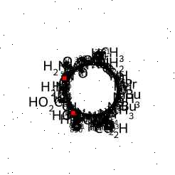 CCCC[C@H]1C(=O)N(C)[C@@H](CCCC)C(=O)N[C@@H](CC(C)C)C(=O)NCCC[C@@H](N)C(=O)N[C@@H](Cc2ccc(C)cc2)C(=O)N2CCCC[C@@]23C(=O)N3[C@@H](CCC(N)=O)C(=O)N2CCC[C@H]2C(=O)N[C@@H](CN)C(=O)N[C@@H](CCC(=O)O)C(=O)N2C[C@H](O)C[C@H]2C(=O)N[C@@H](Cc2c[nH]c3ccccc23)C(=O)N[C@@H](CCN)C(=O)N[C@@H](Cc2cn(CC(=O)O)c3ccccc23)C(=O)N1C